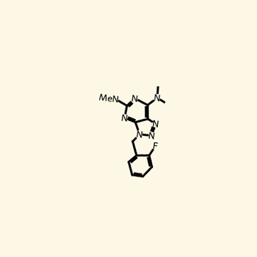 CNc1nc(N(C)C)c2nnn(Cc3ccccc3F)c2n1